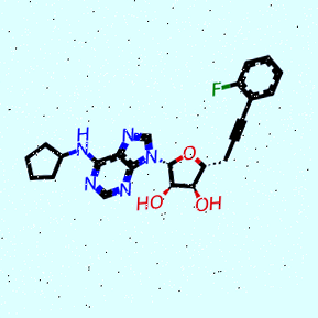 O[C@@H]1[C@H](O)[C@@H](CC#Cc2ccccc2F)O[C@H]1n1cnc2c(NC3CCCC3)ncnc21